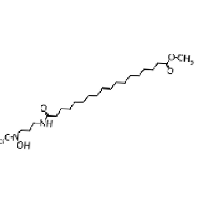 COC(=O)CCCCCCC/C=C/CCCCCCCC(=O)NCCCN(C)O